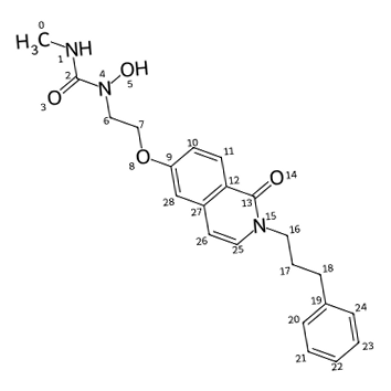 CNC(=O)N(O)CCOc1ccc2c(=O)n(CCCc3ccccc3)ccc2c1